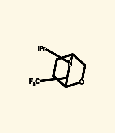 CC(C)N1C2CCC(OC2)C1C(F)(F)F